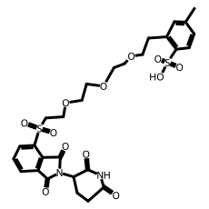 Cc1ccc(S(=O)(=O)O)c(CCOCCOCCOCCS(=O)(=O)c2cccc3c2C(=O)N(C2CCC(=O)NC2=O)C3=O)c1